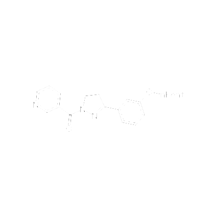 CCCCCOc1cccc(C2=NN(C(=O)c3cccnc3)CC2)c1